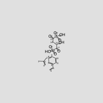 C=C(C)C.C=Cc1ccccc1.O=C(CC(O)C(=O)S(=O)(=O)O)S(=O)(=O)O